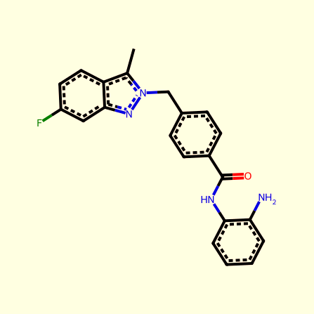 Cc1c2ccc(F)cc2nn1Cc1ccc(C(=O)Nc2ccccc2N)cc1